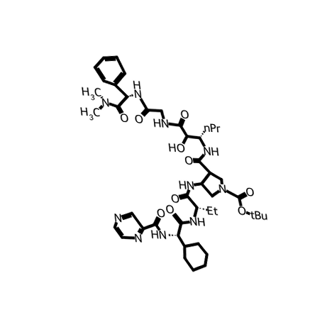 CCC[C@H](NC(=O)C1CN(C(=O)OC(C)(C)C)CC1NC(=O)[C@H](CC)NC(=O)[C@@H](NC(=O)c1cnccn1)C1CCCCC1)C(O)C(=O)NCC(=O)N[C@H](C(=O)N(C)C)c1ccccc1